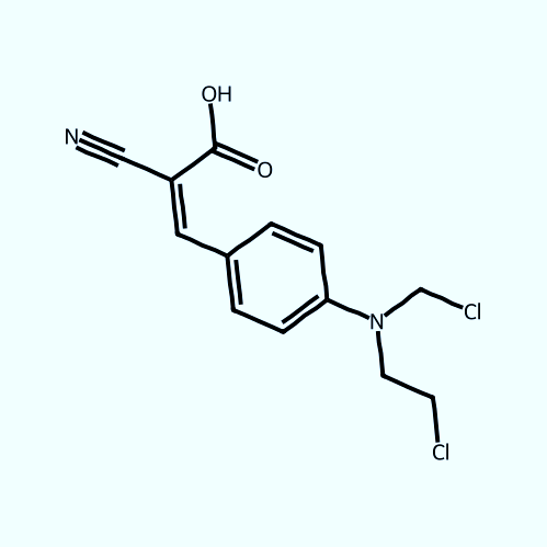 N#CC(=Cc1ccc(N(CCl)CCCl)cc1)C(=O)O